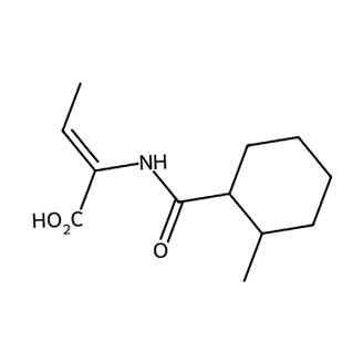 C/C=C(\NC(=O)C1CCCCC1C)C(=O)O